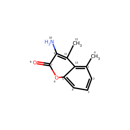 Cc1cccc2oc(=O)c(N)c(C)c12